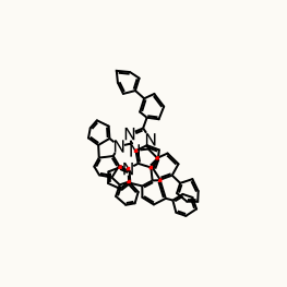 c1ccc(-c2ccc(-c3nc(-c4cccc(-c5ccccc5)c4)nc(-n4c5ccccc5c5ccc6c7ccccc7n(-c7ccccc7-c7cc(-c8ccccc8)ccc7-c7ccccc7)c6c54)n3)cc2)cc1